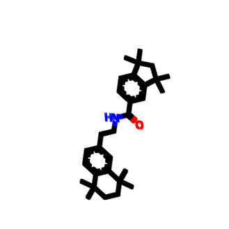 CC1(C)CCC(C)(C)c2cc(CCNC(=O)c3ccc4c(c3)C(C)(C)CC4(C)C)ccc21